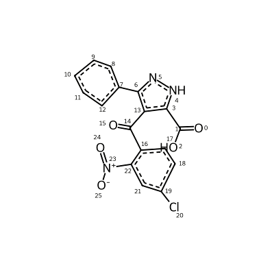 O=C(O)c1[nH]nc(-c2ccccc2)c1C(=O)c1ccc(Cl)cc1[N+](=O)[O-]